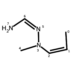 C/C=C\N(C)/N=C\N